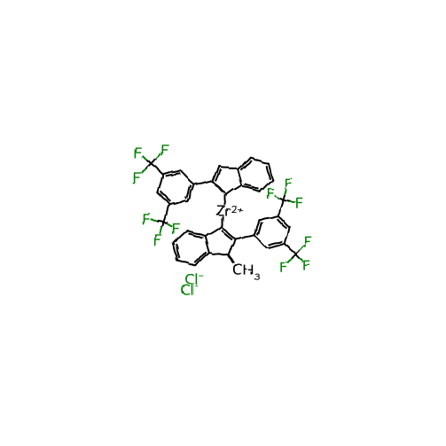 CC1C(c2cc(C(F)(F)F)cc(C(F)(F)F)c2)=[C]([Zr+2][CH]2C(c3cc(C(F)(F)F)cc(C(F)(F)F)c3)=Cc3ccccc32)c2ccccc21.[Cl-].[Cl-]